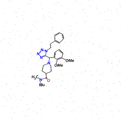 COc1cccc(C(c2nnnn2CCc2ccccc2)N2CCC(C(=O)N(C)C(C)(C)C)CC2)c1OC